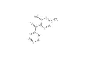 O=C(c1ccccn1)c1ccc(C(F)(F)F)cc1O